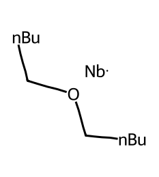 CCCCCOCCCCC.[Nb]